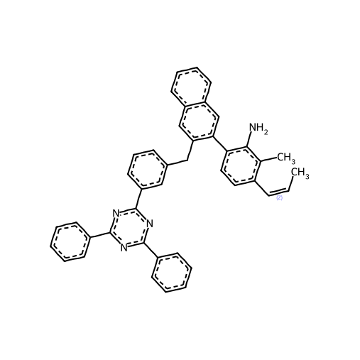 C/C=C\c1ccc(-c2cc3ccccc3cc2Cc2cccc(-c3nc(-c4ccccc4)nc(-c4ccccc4)n3)c2)c(N)c1C